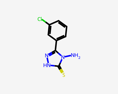 Nn1c(-c2cccc(Cl)c2)n[nH]c1=S